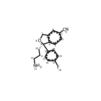 N#Cc1ccc2c(c1)CO[C@]2(CCCN)c1ccc(F)cc1